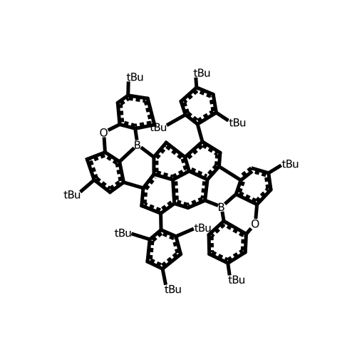 CC(C)(C)c1ccc2c(c1)Oc1cc(C(C)(C)C)cc3c1B2c1cc2c(-c4c(C(C)(C)C)cc(C(C)(C)C)cc4C(C)(C)C)cc4c5c(cc6c(-c7c(C(C)(C)C)cc(C(C)(C)C)cc7C(C)(C)C)cc-3c1c6c25)B1c2ccc(C(C)(C)C)cc2Oc2cc(C(C)(C)C)cc-4c21